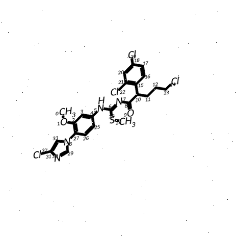 COc1cc(NC(=NC(=O)C(CCCCl)c2ccc(Cl)cc2Cl)SC)ccc1-n1cnc(Cl)c1